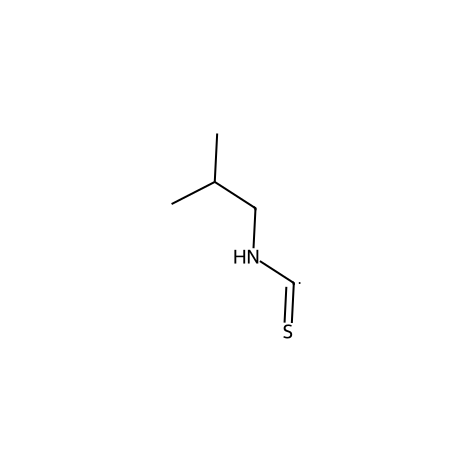 CC(C)CN[C]=S